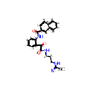 N=C(N=O)NCCCNC(=O)C(=O)c1ccccc1NC(=O)c1ccc2ccccc2c1